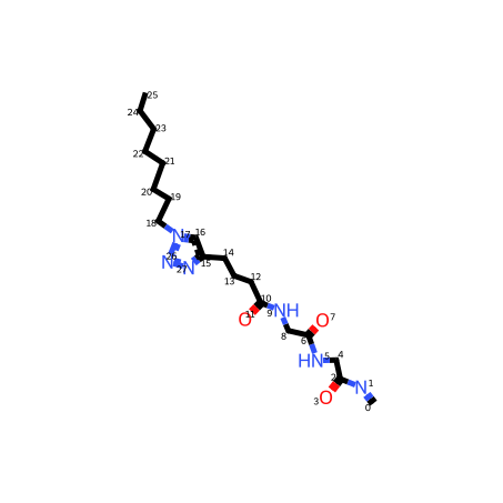 C=NC(=O)CNC(=O)CNC(=O)CCCc1cn(CCCCCCCC)nn1